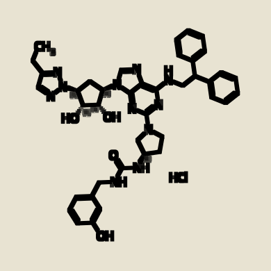 CCc1cnn([C@H]2C[C@@H](n3cnc4c(NCC(c5ccccc5)c5ccccc5)nc(N5CC[C@@H](NC(=O)NCc6cccc(O)c6)C5)nc43)[C@H](O)[C@@H]2O)n1.Cl